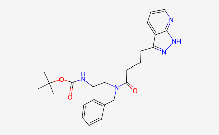 CC(C)(C)OC(=O)NCCN(Cc1ccccc1)C(=O)CCCc1n[nH]c2ncccc12